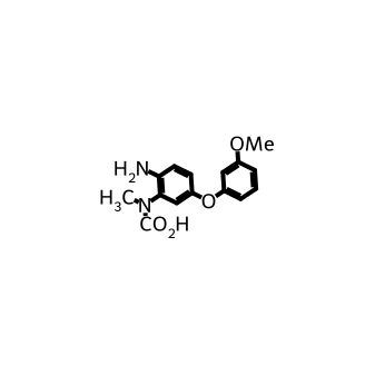 COc1cccc(Oc2ccc(N)c(N(C)C(=O)O)c2)c1